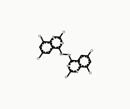 Clc1cc(Cl)c2nc(Cl)nc([Se][Se]c3nc(Cl)nc4c(Cl)cc(Cl)cc34)c2c1